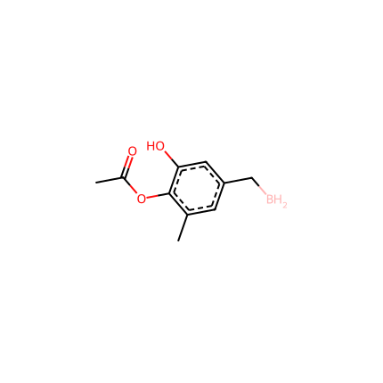 BCc1cc(C)c(OC(C)=O)c(O)c1